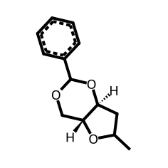 CC1C[C@@H]2OC(c3ccccc3)OC[C@H]2O1